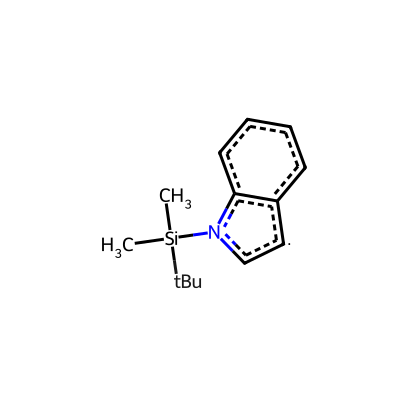 CC(C)(C)[Si](C)(C)n1c[c]c2ccccc21